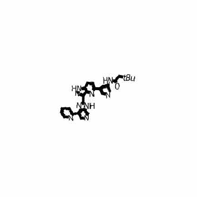 CC(C)(C)CC(=O)Nc1cncc(-c2ccc3[nH]nc(-c4nc5c(-c6ccccn6)cncc5[nH]4)c3n2)c1